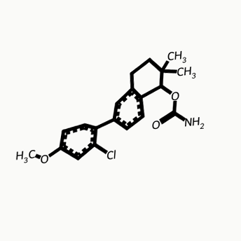 COc1ccc(-c2ccc3c(c2)CCC(C)(C)C3OC(N)=O)c(Cl)c1